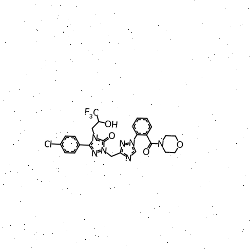 O=C(c1ccccc1-n1cnc(Cn2nc(-c3ccc(Cl)cc3)n(CC(O)C(F)(F)F)c2=O)n1)N1CCOCC1